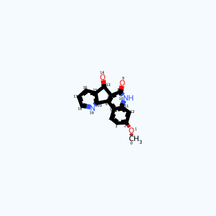 COc1ccc2c3c(c(=O)[nH]c2c1)C(=O)c1cccnc1-3